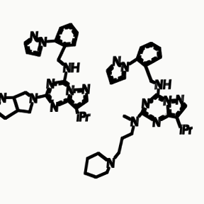 CC(C)c1cnn2c(NCc3ccccc3-n3cccn3)nc(N(C)CCCN3CCCCC3)nc12.CC(C)c1cnn2c(NCc3ccccc3-n3cccn3)nc(N3CC4CCNC4C3)nc12